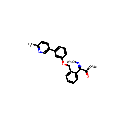 CO/N=C(/C(=O)OC)c1ccccc1COc1cccc(-c2ccc(C(F)(F)F)nc2)c1